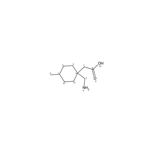 CC1CCC(CN)(CC(=O)O)CC1